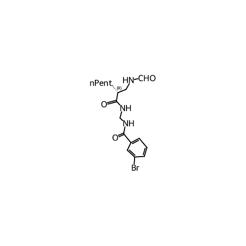 CCCCC[C@H](CNC=O)C(=O)NCNC(=O)c1cccc(Br)c1